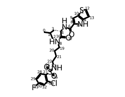 CC(C)C[C@H](NC(=O)c1cc2sccc2[nH]1)C(=O)NCCCCNS(=O)(=O)c1ccc(F)cc1Cl